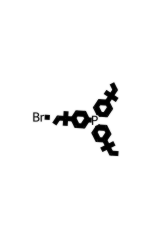 CBr.CCC(C)(C)c1ccc(P(c2ccc(C(C)(C)CC)cc2)c2ccc(C(C)(C)CC)cc2)cc1